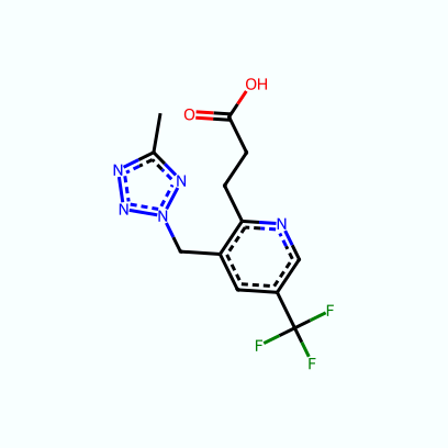 Cc1nnn(Cc2cc(C(F)(F)F)cnc2CCC(=O)O)n1